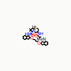 CN[C@@H](C)C(=O)N[C@H]1CCS[C@H]2CC(C)(C)[C@@H](C(=O)N[C@H]3c4ccccc4C[C@H]3OCCCCOC3Cc4ccccc4C3)N2C1=O